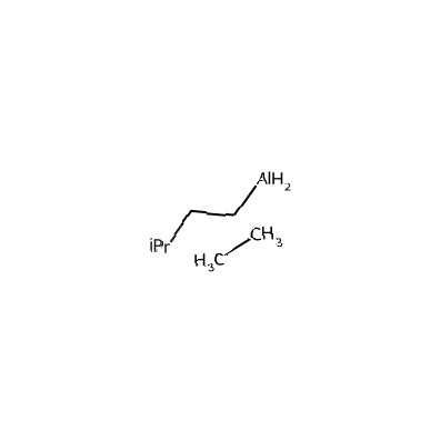 CC.CC(C)C[CH2][AlH2]